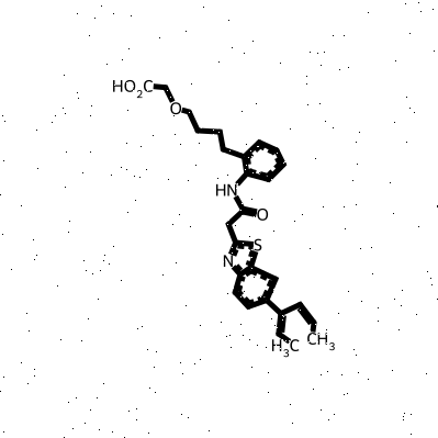 C/C=C\C(=C/C)c1ccc2nc(CC(=O)Nc3ccccc3CCCCOCC(=O)O)sc2c1